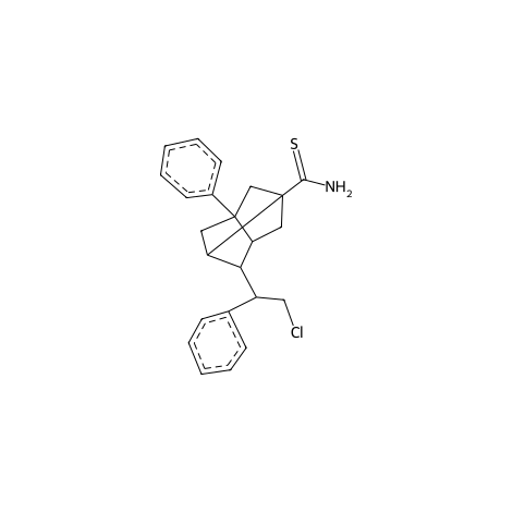 NC(=S)C12CC3C(C(CCl)c4ccccc4)C1CC3(c1ccccc1)C2